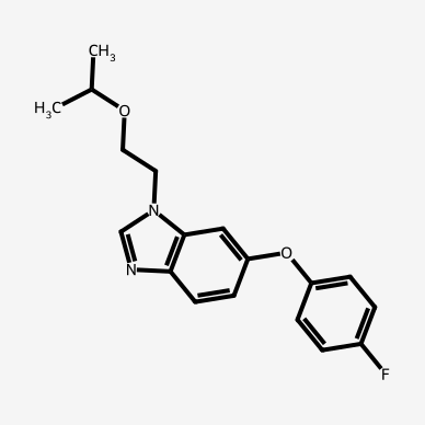 CC(C)OCCn1cnc2ccc(Oc3ccc(F)cc3)cc21